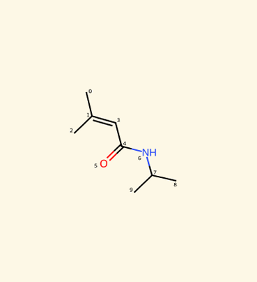 CC(C)=CC(=O)NC(C)C